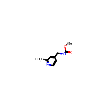 CC(C)(C)OC(=O)NCc1ccnc(C(=O)O)c1